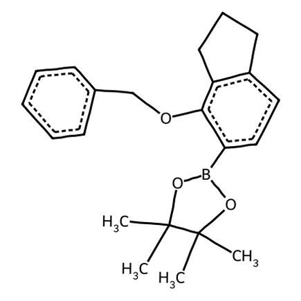 CC1(C)OB(c2ccc3c(c2OCc2ccccc2)CCC3)OC1(C)C